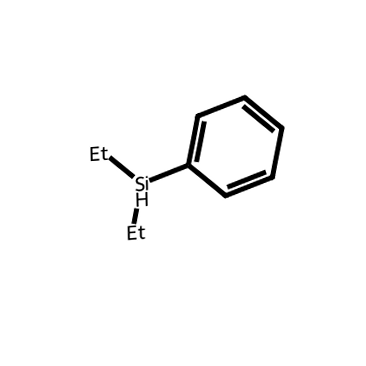 CC[SiH](CC)c1ccccc1